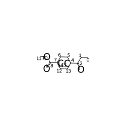 CCC(=O)C12CCC(C(=O)OC)(CC1)CC2